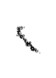 CC(C)(C)OC(=O)N1CC(CC(=O)Nc2ccn(CCC(F)Cn3cc(C(=O)NCc4cccc(OC(F)(F)F)c4)nn3)c(=O)c2)C1